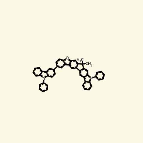 CC1(C)c2cc3oc4ccc(-c5ccc6c(c5)c5ccccc5n6-c5ccccc5)cc4c3cc2-c2cc3c4ccccc4n(-c4ccccc4)c3cc21